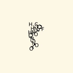 Cc1ccc(F)c2cc(C(=O)N[C@@H]3CCC[C@H](N4CCN(C(=O)C5COC5)CC4)C3)[nH]c12